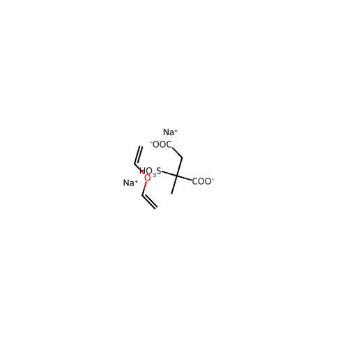 C=COC=C.CC(CC(=O)[O-])(C(=O)[O-])S(=O)(=O)O.[Na+].[Na+]